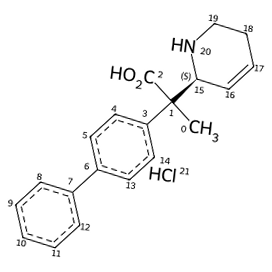 CC(C(=O)O)(c1ccc(-c2ccccc2)cc1)[C@@H]1C=CCCN1.Cl